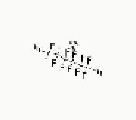 C#C.C#C.C#CC(F)(F)C(F)(F)C(F)(F)C(F)(F)C(F)(F)C(F)(F)C#C